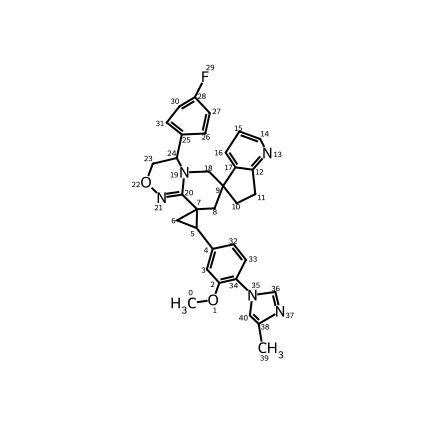 COc1cc(C2CC23CC2(CCc4ncccc42)CN2C3=NOCC2c2ccc(F)cc2)ccc1-n1cnc(C)c1